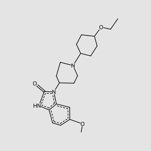 CCOC1CCC(N2CCC(n3c(=O)[nH]c4ccc(OC)cc43)CC2)CC1